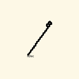 CCCCCCCCCCCCCCCCCCCCCCCCCCCCCCCCCCCCc1[c]c2ccccc2cc1